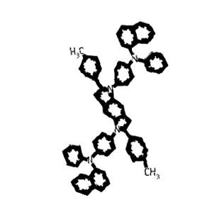 Cc1ccc(-c2cc3cc4c(cc(-c5ccc(C)cc5)n4-c4ccc(N(c5ccccc5)c5cccc6ccccc56)cc4)cc3n2-c2ccc(N(c3ccccc3)c3cccc4ccccc34)cc2)cc1